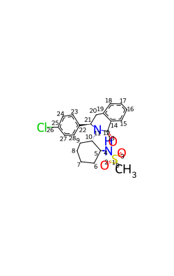 CS(=O)(=O)N[C@H]1CCCC[C@@H]1N1C(=O)c2ccccc2C[C@@H]1c1ccc(Cl)cc1